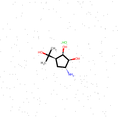 CC(C)(O)[C@@H]1C[C@@H](N)[C@H](O)[C@@H]1O.Cl